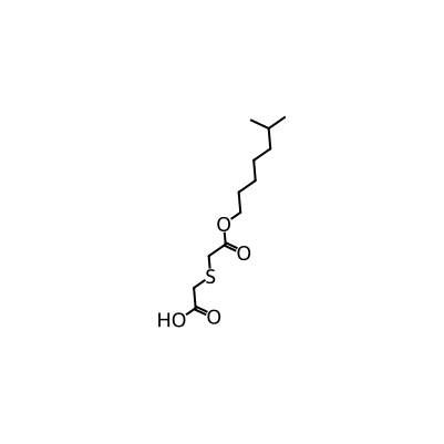 CC(C)CCCCCOC(=O)CSCC(=O)O